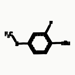 [CH2]CCCc1ccc(SC(F)(F)F)cc1F